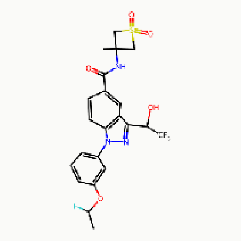 CC(F)Oc1cccc(-n2nc(C(O)C(F)(F)F)c3cc(C(=O)NC4(C)CS(=O)(=O)C4)ccc32)c1